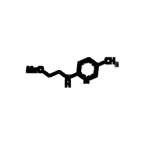 COCCNc1ccc(C)cn1